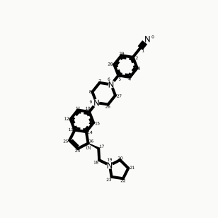 N#Cc1ccc(N2CCN(c3ccc4c(c3)[C@@H](CCN3CCCC3)C=C4)CC2)cc1